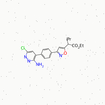 CCOC(=O)C(c1cc(-c2ccc(-c3cc(Cl)nnc3N)cc2)no1)C(C)C